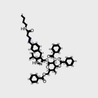 CCCCNC(=O)C/C=C/c1ccc(Cc2c(OC3OC(COC(=O)c4ccccc4)C(F)C(OC(=O)c4ccccc4)C3OC(=O)c3ccccc3)n[nH]c2C(C)C)cc1